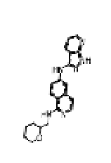 c1cnc2[nH]nc(Nc3ccc4c(NCC5CCCCO5)nccc4c3)c2c1